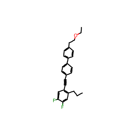 CCCc1cc(F)c(F)cc1C#Cc1ccc(-c2ccc(CCOCC)cc2)cc1